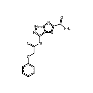 NC(=O)c1nc2[nH]nc(NC(=O)COc3ccccc3)c2s1